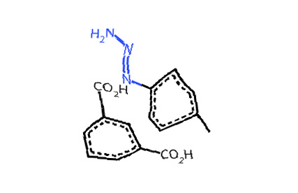 Cc1ccc(N=NN)cc1.O=C(O)c1cccc(C(=O)O)c1